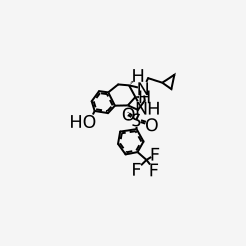 C[C@]12CCN(CC3CC3)[C@H](Cc3ccc(O)cc31)[C@@H]2NS(=O)(=O)c1cccc(C(F)(F)F)c1